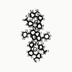 CCc1ccccc1-c1cccc2c1oc1c(N(c3ccc(C(C)C)cc3)c3cc(C4CCCCC4)c4ccc5c(N(c6ccc(C(C)C)cc6)c6cccc7c6oc6c(-c8ccccc8CC)cccc67)cc(C6CCCCC6)c6ccc3c4c65)cccc12